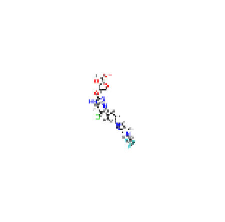 O[C@@H]1COC2C1OC[C@H]2Oc1nc2nc(-c3ccc(-n4cc5c(n4)CN(CC(F)(F)F)C5)cc3)c(Cl)cc2[nH]1